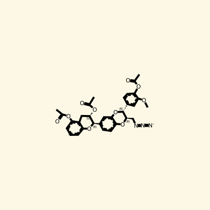 COc1cc([C@H]2Oc3cc([C@H]4Oc5c[c]cc(OC(C)=O)c5C[C@@H]4OC(C)=O)ccc3O[C@@H]2CN=[N+]=[N-])ccc1OC(C)=O